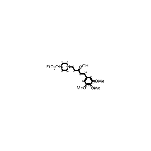 CCOC(=O)N1CCN(CCC(=O)C=Cc2cc(OC)c(OC)c(OC)c2)CC1.Cl